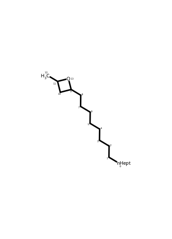 CCCCCCCC[CH]CCCCCCC1CC(C)O1